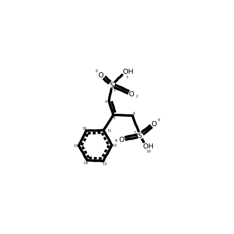 O=S(=O)(O)C=C(CS(=O)(=O)O)c1ccccc1